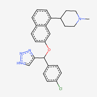 CN1CCC(c2cccc3ccc(OC(c4ccc(Cl)cc4)c4c[nH]nn4)cc23)CC1